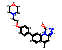 Cc1cc2n[nH]c(=O)n2c2cc(-c3ccc(OCCN4CCOCC4)cc3)ccc12